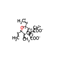 C=CC(C=C)OC(C=C)C=C.O=C([O-])/C=C\C(=O)[O-].[Ca+2]